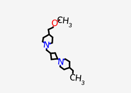 CCC1CCN(C2CC(CN3CCC(CCOC)CC3)C2)CC1